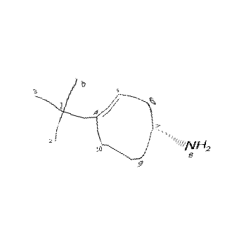 CC(C)(C)C1=CC[C@H](N)CC1